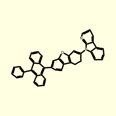 C1=C(n2c3ccccc3c3cccnc32)CCc2c1oc1cc(-c3c4ccccc4c(-c4ccccc4)c4ccccc34)ccc21